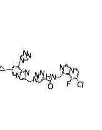 O=C(NCc1ncn2ccc(Cl)c(F)c12)c1cn(Cc2cn3cc(C4CC4)cc(-n4cnnc4)c3n2)nn1